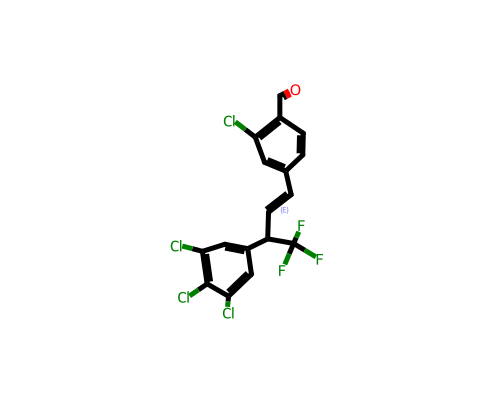 O=Cc1ccc(/C=C/C(c2cc(Cl)c(Cl)c(Cl)c2)C(F)(F)F)cc1Cl